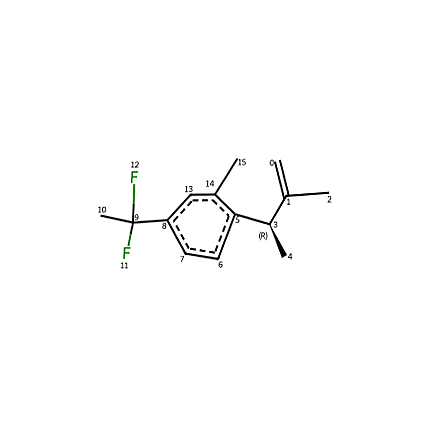 C=C(C)[C@@H](C)c1ccc(C(C)(F)F)cc1C